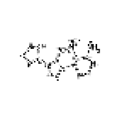 Nc1nccc(-c2ccc(-c3cccs3)s2)c1[N+](=O)[O-]